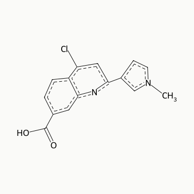 Cn1ccc(-c2cc(Cl)c3ccc(C(=O)O)cc3n2)c1